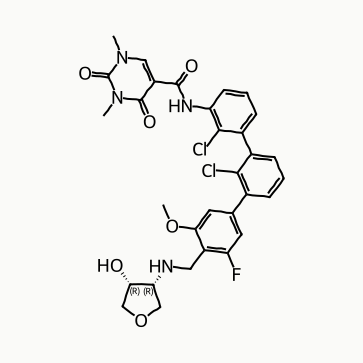 COc1cc(-c2cccc(-c3cccc(NC(=O)c4cn(C)c(=O)n(C)c4=O)c3Cl)c2Cl)cc(F)c1CN[C@@H]1COC[C@@H]1O